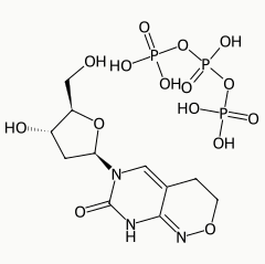 O=C1NC2=NOCCC2=CN1[C@H]1C[C@H](O)[C@@H](CO)O1.O=P(O)(O)OP(=O)(O)OP(=O)(O)O